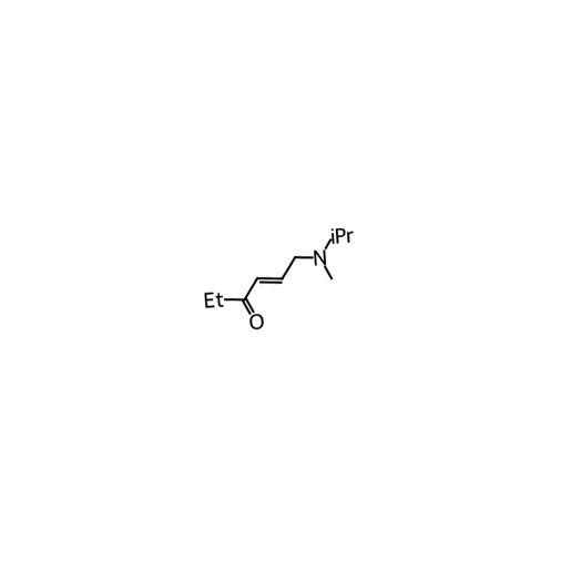 CCC(=O)/C=C/CN(C)C(C)C